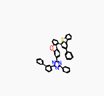 c1ccc(-c2cccc(-c3nc(-c4ccccc4)nc(-c4ccc5c(c4)oc4cccc(-c6cc(-c7ccccc7)cc7c6sc6ccccc67)c45)n3)c2)cc1